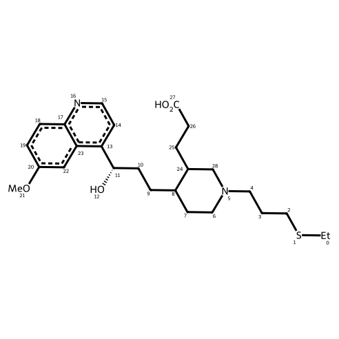 CCSCCCN1CCC(CC[C@H](O)c2ccnc3ccc(OC)cc23)C(CCC(=O)O)C1